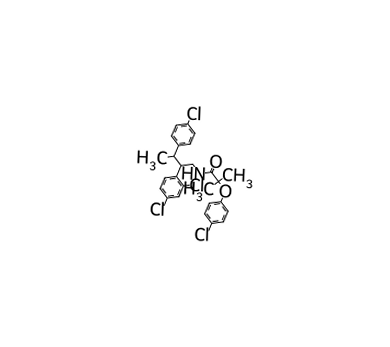 CC(c1ccc(Cl)cc1)C(CNC(=O)C(C)(C)Oc1ccc(Cl)cc1)c1ccc(Cl)cc1Cl